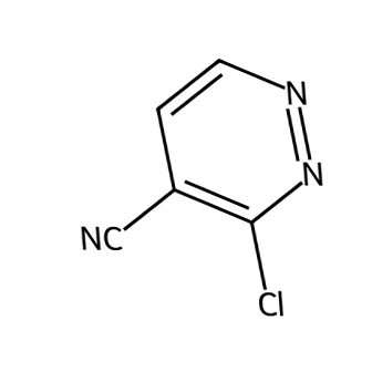 N#Cc1ccnnc1Cl